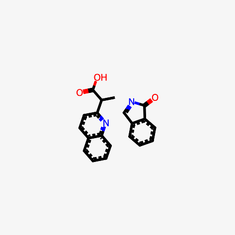 CC(C(=O)O)c1ccc2ccccc2n1.O=C1N=Cc2ccccc21